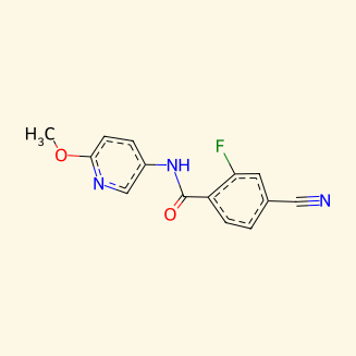 COc1ccc(NC(=O)c2ccc(C#N)cc2F)cn1